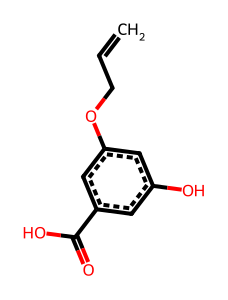 C=CCOc1cc(O)cc(C(=O)O)c1